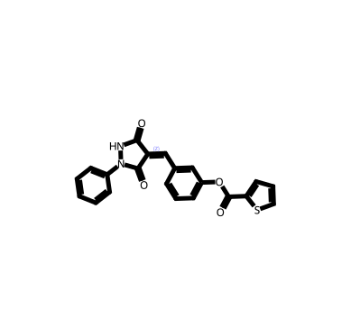 O=C1NN(c2ccccc2)C(=O)/C1=C\c1cccc(OC(=O)c2cccs2)c1